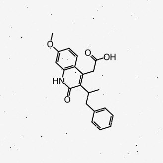 COc1ccc2c(CC(=O)O)c(C(C)Cc3ccccc3)c(=O)[nH]c2c1